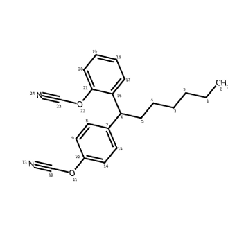 CCCCCCC(c1ccc(OC#N)cc1)c1ccccc1OC#N